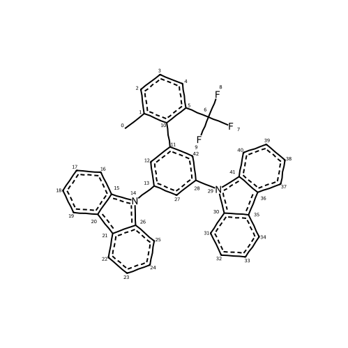 Cc1cccc(C(F)(F)F)c1-c1cc(-n2c3ccccc3c3ccccc32)cc(-n2c3ccccc3c3ccccc32)c1